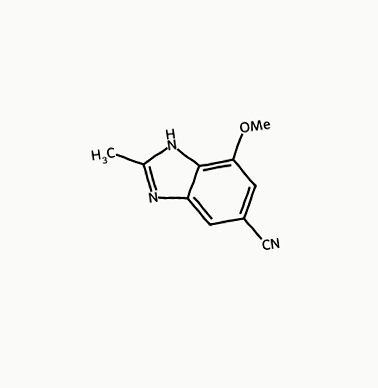 COc1cc(C#N)cc2nc(C)[nH]c12